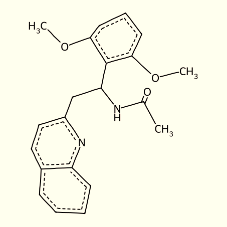 COc1cccc(OC)c1C(Cc1ccc2ccccc2n1)NC(C)=O